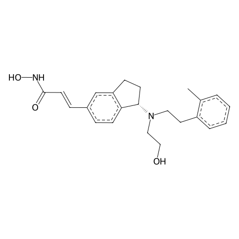 Cc1ccccc1CCN(CCO)[C@H]1CCc2cc(C=CC(=O)NO)ccc21